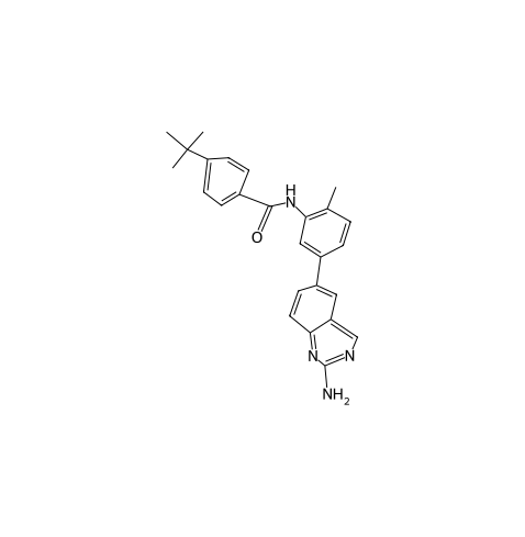 Cc1ccc(-c2ccc3nc(N)ncc3c2)cc1NC(=O)c1ccc(C(C)(C)C)cc1